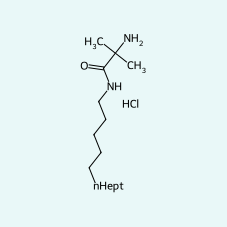 CCCCCCCCCCCCNC(=O)C(C)(C)N.Cl